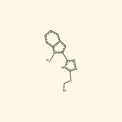 CC(=O)CSc1nnc(-c2cc3ccccc3n2C)[nH]1